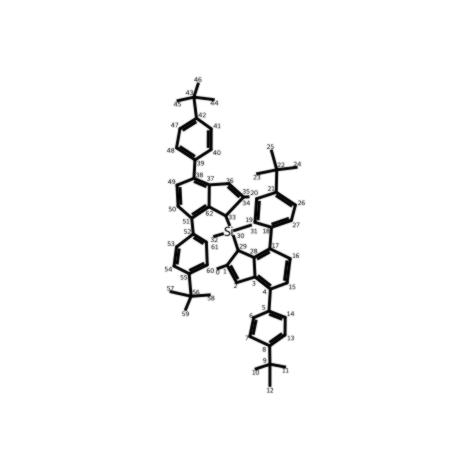 CC1=Cc2c(-c3ccc(C(C)(C)C)cc3)ccc(-c3ccc(C(C)(C)C)cc3)c2C1[Si](C)(C)C1C(C)=Cc2c(-c3ccc(C(C)(C)C)cc3)ccc(-c3ccc(C(C)(C)C)cc3)c21